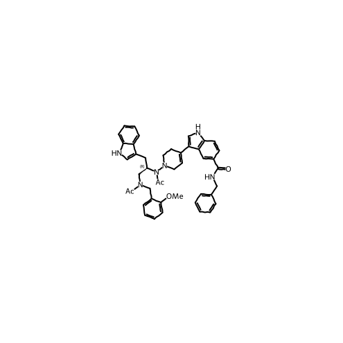 COc1ccccc1CN(C[C@@H](Cc1c[nH]c2ccccc12)N(C(C)=O)N1CC=C(c2c[nH]c3ccc(C(=O)NCc4ccccc4)cc23)CC1)C(C)=O